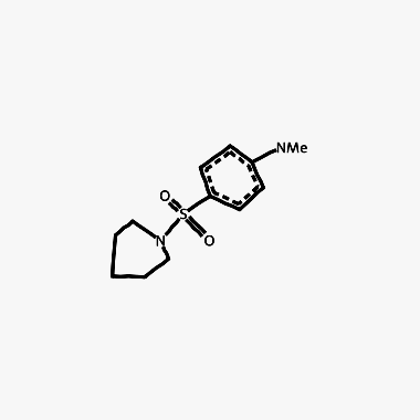 CNc1ccc(S(=O)(=O)N2CCCCC2)cc1